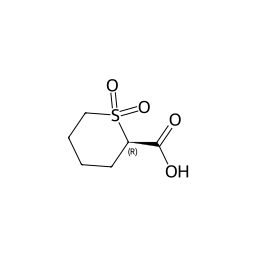 O=C(O)[C@H]1CCCCS1(=O)=O